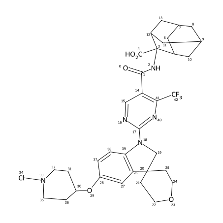 O=C(NC1(C(=O)O)C2CC3CC(C2)CC1C3)c1cnc(N2CC3(CCOCC3)c3cc(OC4CCN(Cl)CC4)ccc32)nc1C(F)(F)F